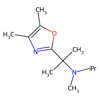 Cc1nc(C(C)(C)N(C)C(C)C)oc1C